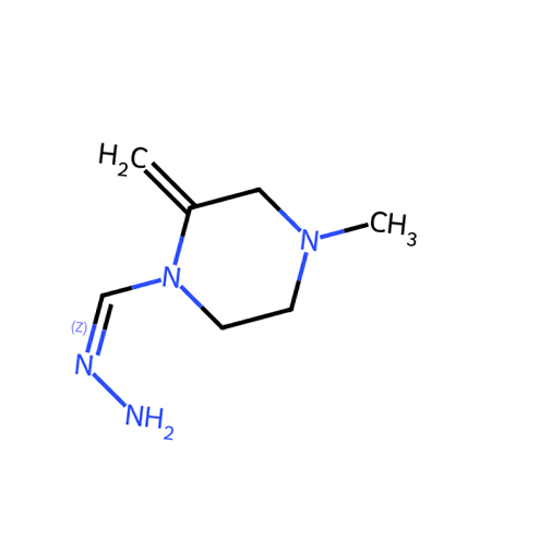 C=C1CN(C)CCN1/C=N\N